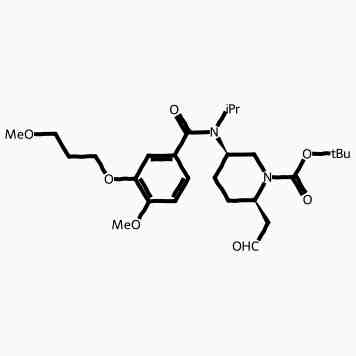 COCCCOc1cc(C(=O)N(C(C)C)[C@@H]2CC[C@H](CC=O)N(C(=O)OC(C)(C)C)C2)ccc1OC